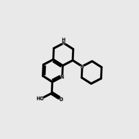 O=C(O)c1ccc2c(n1)C(N1CCCCC1)CNC2